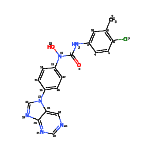 O=C(Nc1ccc(Cl)c(C(F)(F)F)c1)N(O)c1ccc(-n2cnc3ncncc32)cc1